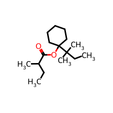 CCC(C)C(=O)OC1(C(C)(C)CC)CCCCC1